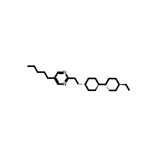 CCCCCc1cnc(CC[C@H]2CC[C@H]([C@H]3CC[C@H](CC)CC3)CC2)nc1